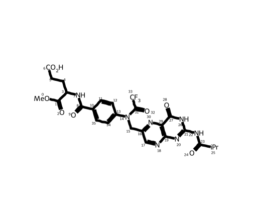 COC(=O)C(CCC(=O)O)NC(=O)c1ccc(N(Cc2cnc3nc(NC(=O)C(C)C)[nH]c(=O)c3n2)C(=O)C(F)(F)F)cc1